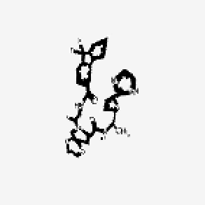 C[C@@H](NC(=O)C1CC2(CN1C(=O)CNC(=O)c1ccc3c(c1)-c1ccccc1C3(F)F)OCCO2)c1ccc(-c2ncc[nH]2)s1